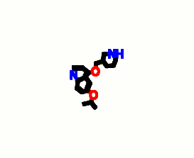 CC(C)Oc1ccc2nccc(OCC3CCCNC3)c2c1